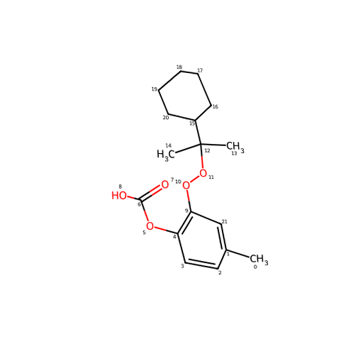 Cc1ccc(OC(=O)O)c(OOC(C)(C)C2CCCCC2)c1